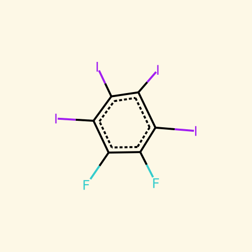 Fc1c(F)c(I)c(I)c(I)c1I